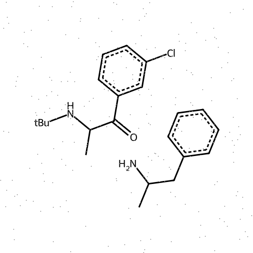 CC(N)Cc1ccccc1.CC(NC(C)(C)C)C(=O)c1cccc(Cl)c1